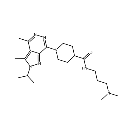 Cc1nnc(N2CCC(C(=O)NCCCN(C)C)CC2)c2nn(C(C)C)c(C)c12